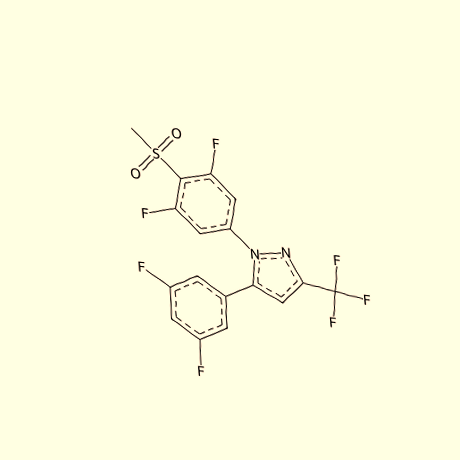 CS(=O)(=O)c1c(F)cc(-n2nc(C(F)(F)F)cc2-c2cc(F)cc(F)c2)cc1F